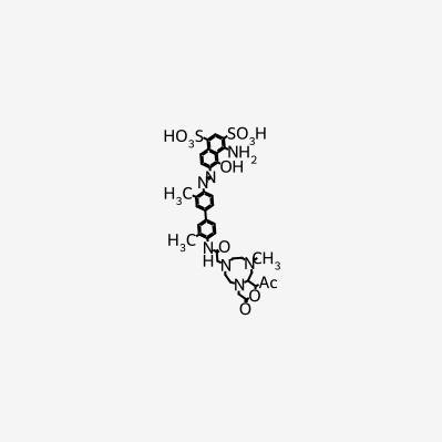 CC(=O)C1OC(=O)CN2CCN(CC(=O)Nc3ccc(-c4ccc(N=Nc5ccc6c(S(=O)(=O)O)cc(S(=O)(=O)O)c(N)c6c5O)c(C)c4)cc3C)CCN(C)CC12